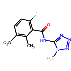 Cc1c([N+](=O)[O-])ccc(F)c1C(=O)Nc1nnnn1C